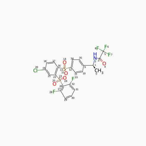 C[C@H](NC(=O)C(F)(F)F)c1ccc(S(=O)(=O)c2ccc(Cl)cc2S(=O)(=O)c2c(F)cccc2F)cc1